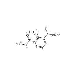 CCCCCCCCCC(I)c1cccc(C(=O)OCCCC)c1C(=O)O